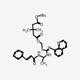 CC(NC(=O)/C=C/c1ccccc1)N/C(=N\c1cccc2cccnc12)SCOC(=O)CC(C)(C)CC(=O)OC(C)(C)C